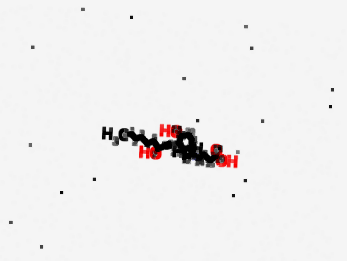 CCCCCCC(O)C#C[C@H]1[C@@H]2C/C(=C/CCC(=O)O)[C@@H]2CC[C@@H]1O